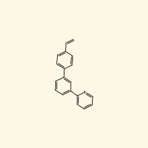 C=Cc1ccc(-c2cccc(-c3ccccn3)c2)cc1